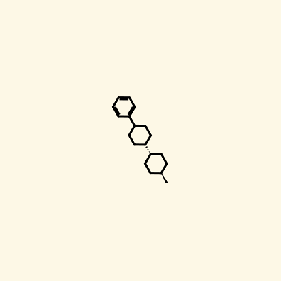 C[C@H]1CC[C@H](C2CCC(c3ccccc3)CC2)CC1